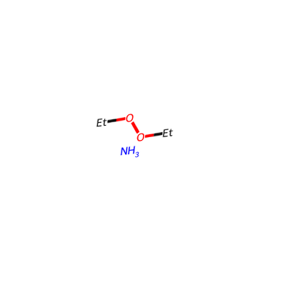 CCOOCC.N